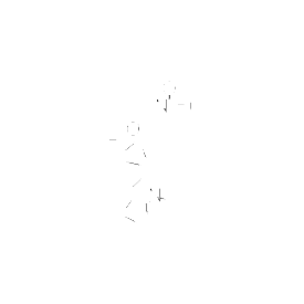 C=Nc1ccccc1/C(C)=C(\C)c1ccc(OC2CCN(C(=O)CC)CC2)c(F)c1